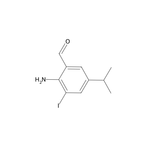 CC(C)c1cc(I)c(N)c(C=O)c1